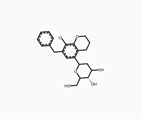 OCC1OC(c2cc(Cc3ccccc3)c(Cl)c3c2CCCO3)CC(O)[C@@H]1O